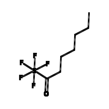 CCCCCCC(=O)S(F)(F)(F)(F)F